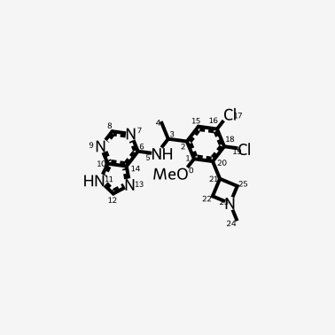 COc1c(C(C)Nc2ncnc3[nH]cnc23)cc(Cl)c(Cl)c1C1CN(C)C1